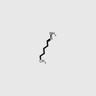 CCCCCC=NN